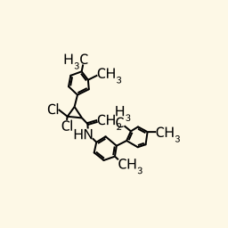 C=C(Nc1ccc(C)c(-c2ccc(C)cc2C)c1)C1C(c2ccc(C)c(C)c2)C1(Cl)Cl